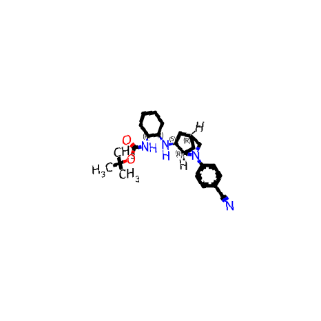 CC(C)(C)OC(=O)N[C@@H]1CCCC[C@H]1N[C@H]1C[C@@H]2C[C@H]1N(c1ccc(C#N)cc1)C2